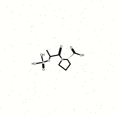 CC(OP(=O)(O)O)C(=O)N1CCC[C@H]1C(=O)O